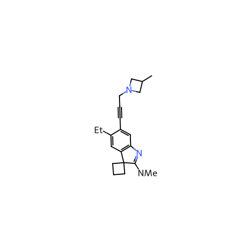 CCc1cc2c(cc1C#CCN1CC(C)C1)N=C(NC)C21CCC1